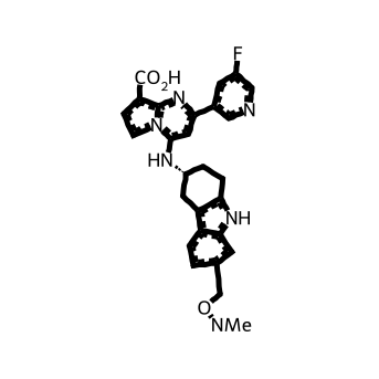 CNOCc1ccc2c3c([nH]c2c1)CC[C@@H](Nc1cc(-c2cncc(F)c2)nc2c(C(=O)O)ccn12)C3